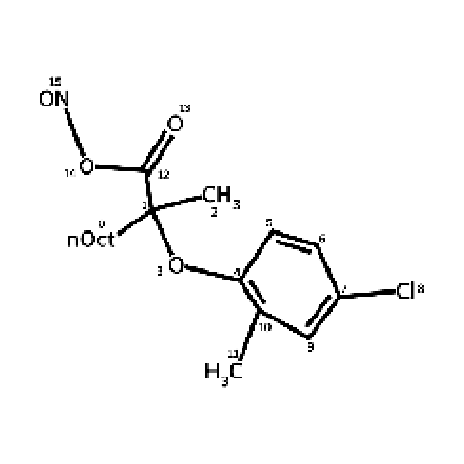 CCCCCCCCC(C)(Oc1ccc(Cl)cc1C)C(=O)ON=O